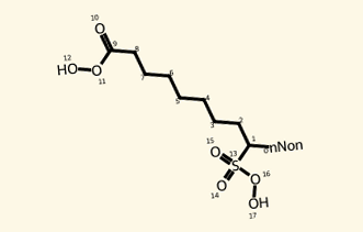 CCCCCCCCCC(CCCCCCCC(=O)OO)S(=O)(=O)OO